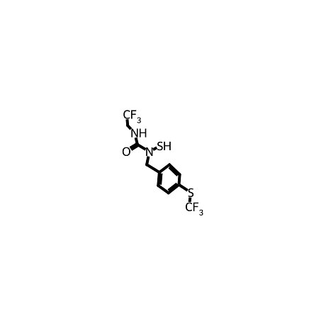 O=C(NCC(F)(F)F)N(S)Cc1ccc(SC(F)(F)F)cc1